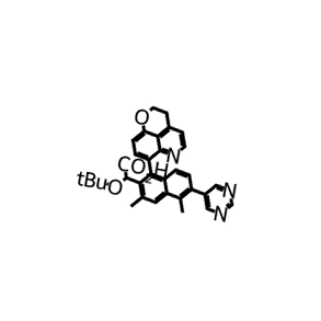 Cc1cc2c(C)c(-c3cncnc3)ccc2c(-c2ccc3c4c(ccnc24)CCO3)c1C(OC(C)(C)C)C(=O)O